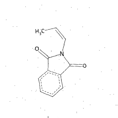 C/C=C\N1C(=O)c2ccccc2C1=O